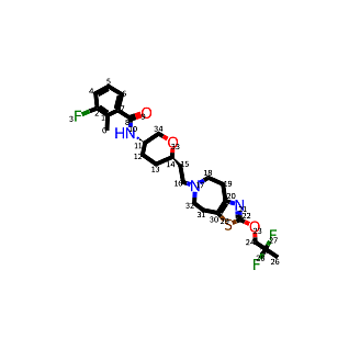 Cc1c(F)cccc1C(=O)N[C@H]1CC[C@H](CCN2CCc3nc(OCC(C)(F)F)sc3CC2)OC1